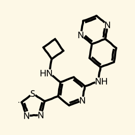 [c]1nnc(-c2cnc(Nc3ccc4nccnc4c3)cc2NC2CCC2)s1